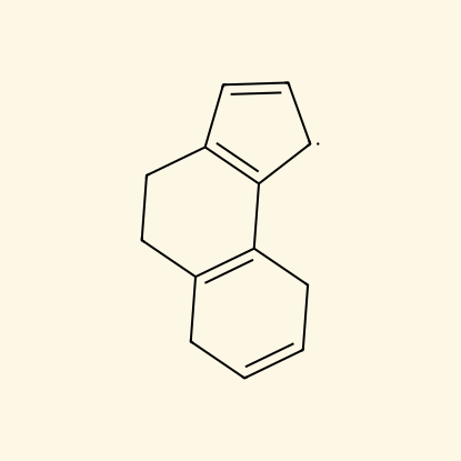 [CH]1C=CC2=C1C1=C(CC=CC1)CC2